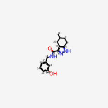 CC1CCc2[nH]nc(C(=O)NCc3cccc(O)c3)c2C1